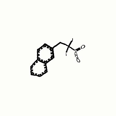 O=[SH](=O)C(I)(I)Cc1ccc2ccccc2c1